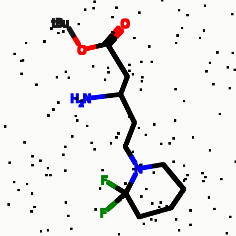 CC(C)(C)OC(=O)CC(N)CCN1CCCCC1(F)F